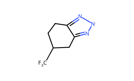 FC(F)(F)C1CCC2=N[N]N=C2C1